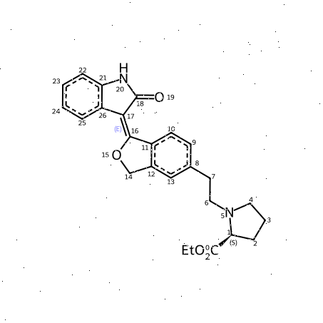 CCOC(=O)[C@@H]1CCCN1CCc1ccc2c(c1)CO/C2=C1/C(=O)Nc2ccccc21